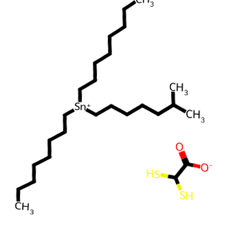 CCCCCCC[CH2][Sn+]([CH2]CCCCCCC)[CH2]CCCCC(C)C.O=C([O-])C(S)S